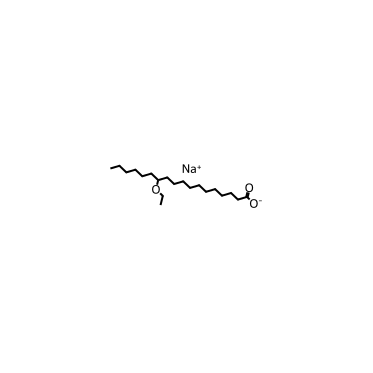 CCCCCCC(CCCCCCCCCCC(=O)[O-])OCC.[Na+]